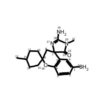 Bc1ccc2c(c1)C1(CC3(CCC(C)CC3)O2)N=C(N)N(C)C1=O